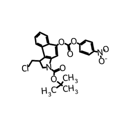 CC(C)(C)OC(=O)N1CC(CCl)c2c1cc(OC(=O)Oc1ccc([N+](=O)[O-])cc1)c1ccccc21